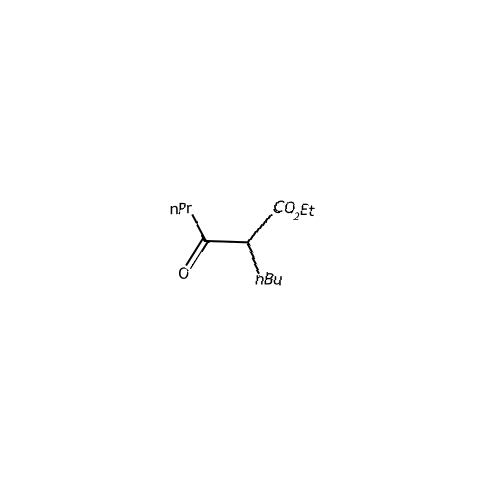 CCCCC(C(=O)CCC)C(=O)OCC